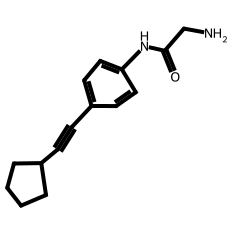 NCC(=O)Nc1ccc(C#CC2CCCC2)cc1